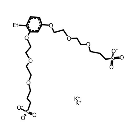 CCc1ccc(OCCOCCOCCCS(=O)(=O)[O-])cc1OCCOCCOCCCS(=O)(=O)[O-].[K+].[K+]